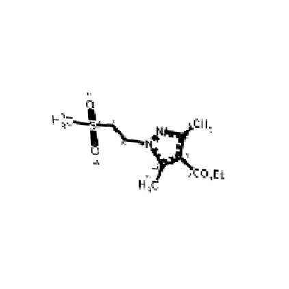 CCOC(=O)c1c(C)nn(CCS(C)(=O)=O)c1C